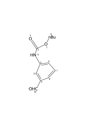 CCCCOC(=O)Nc1cccc([C]=O)c1